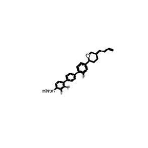 C=CCCC1CCC(c2ccc(-c3ccc(-c4ccc(CCCCCCCCC)c(F)c4F)cc3)c(F)c2)OC1